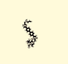 CCCN(C)Cc1ncc(-c2ccc(-c3ccc(-c4cnc(CN(CCC)C(=O)[C@@H](NC=O)C(C)(C)C)s4)cc3)cc2)s1